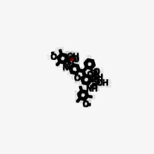 COc1c(C)cc(C)c(/N=c2/cc3oc4cc(Nc5c(C)cc(C)c(OC)c5C)c(S(=O)(=O)O)cc4c(-c4ccccc4S(=O)(=O)O)c-3cc2S(=O)(=O)O)c1C